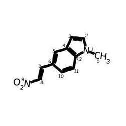 Cn1ccc2cc(/C=C/[N+](=O)[O-])ccc21